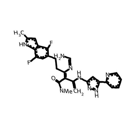 C=C(Nc1cc(-c2ccccn2)[nH]n1)/C(C(=O)NC)=C(CCc1cc(F)c2[nH]c(C)cc2c1F)\N=C/N